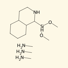 CN.CN.CN.CO[SiH](OC)C1NCCC2CCCCC21